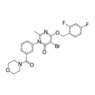 Cc1nc(OCc2ccc(F)cc2F)c(Br)c(=O)n1-c1cccc(C(=O)N2CCOCC2)c1